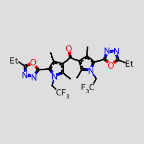 CCc1nnc(-c2c(C)c(C(=O)c3c(C)c(-c4nnc(CC)o4)n(CC(F)(F)F)c3C)c(C)n2CC(F)(F)F)o1